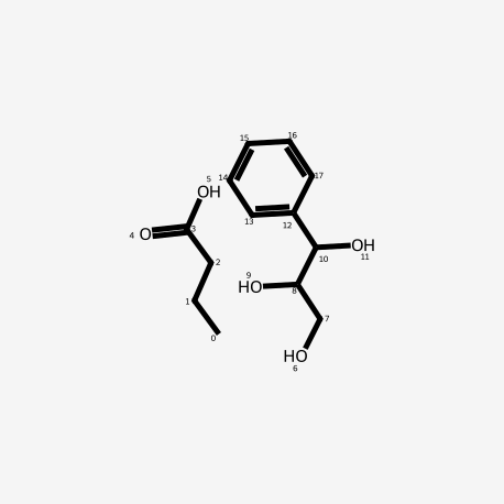 CCCC(=O)O.OCC(O)C(O)c1ccccc1